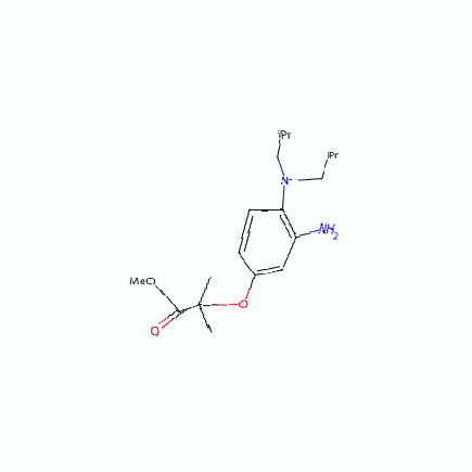 COC(=O)C(C)(C)Oc1ccc(N(CC(C)C)CC(C)C)c(N)c1